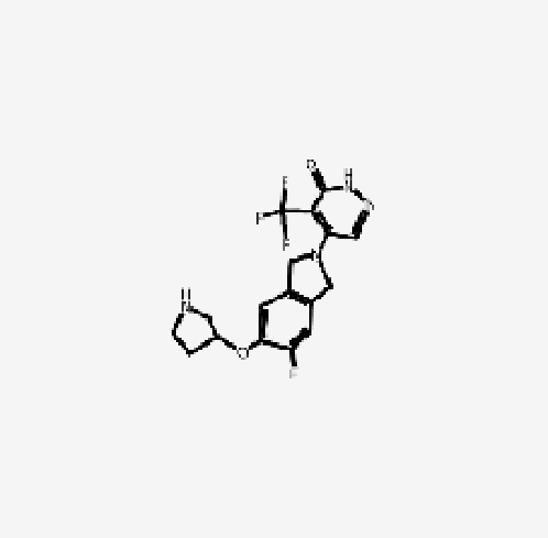 O=c1[nH]ncc(N2Cc3cc(F)c(OC4CCNC4)cc3C2)c1C(F)(F)F